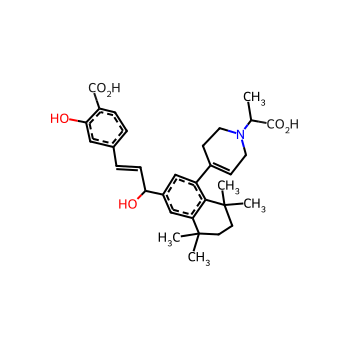 CC(C(=O)O)N1CC=C(c2cc(C(O)C=Cc3ccc(C(=O)O)c(O)c3)cc3c2C(C)(C)CCC3(C)C)CC1